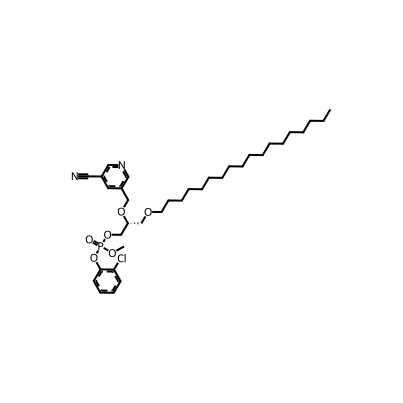 CCCCCCCCCCCCCCCCCCOC[C@H](COP(=O)(OC)Oc1ccccc1Cl)OCc1cncc(C#N)c1